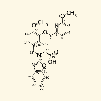 COc1cccc(COc2c(OC)ccc3c2C[C@@H](C(=O)O)N(c2nc4ccc(F)cc4o2)C3)n1